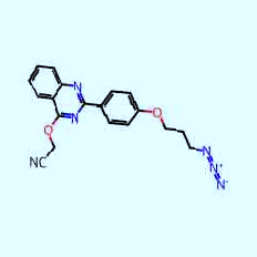 N#CCOc1nc(-c2ccc(OCCCN=[N+]=[N-])cc2)nc2ccccc12